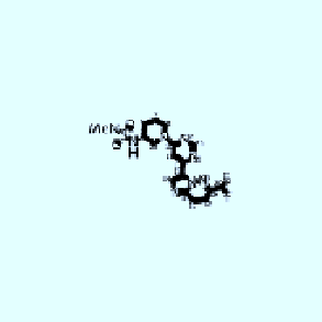 CNS(=O)(=O)N[C@H]1CCCN(c2cc(-c3cnc4ccc(C(F)F)nn34)ncn2)C1